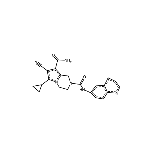 N#Cc1c(C(N)=O)c2n(c1C1CC1)CCN(C(=O)Nc1ccc3ncccc3c1)C2